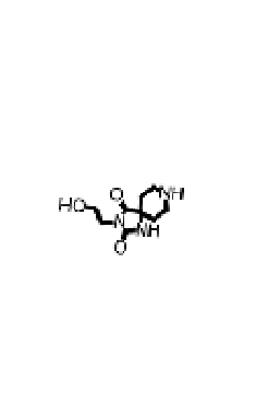 O=C1NC2(CCNCC2)C(=O)N1CCO